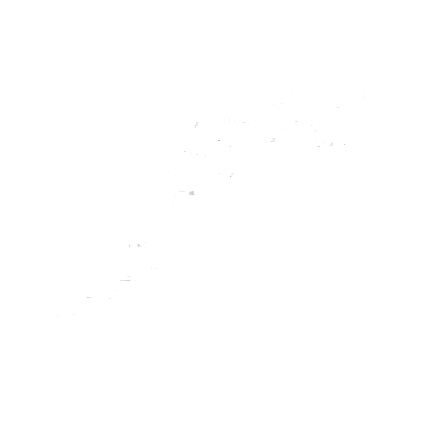 CCCCCc1ccc(C#CC2=CC(F)C(C(F)(F)Oc3ccc(-c4cc(F)c(F)c(Cl)c4)c(F)c3)C(F)=C2)cc1